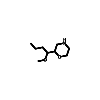 CCCC(OC)C1CNCCO1